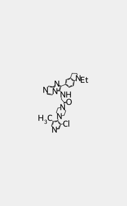 CCN1CCc2cc(-c3nc4cnccn4c3NCC(=O)N3CCN(c4c(C)cncc4Cl)CC3)ccc21